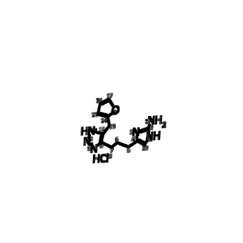 Cl.Nc1nc(CCCc2nn[nH]c2Cc2ccco2)c[nH]1